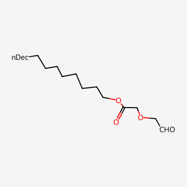 CCCCCCCCCCCCCCCCCCOC(=O)COCC=O